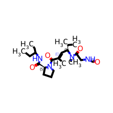 CCC(CC)NC(=O)[C@@H]1CCCN1C(=O)/C(C)=C/[C@H](C(C)C)N(C)C(=O)CNC=O